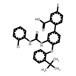 CC(C)(C)c1ccccc1Oc1ccc(-c2ccc(F)cc2C(=O)O)cc1NC(=O)Nc1ccccc1Cl